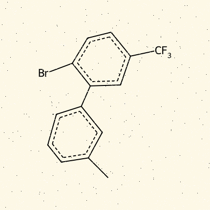 Cc1cc[c]c(-c2cc(C(F)(F)F)ccc2Br)c1